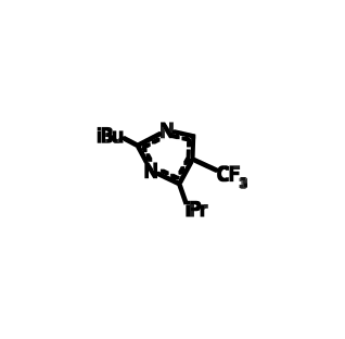 CCC(C)c1ncc(C(F)(F)F)c(C(C)C)n1